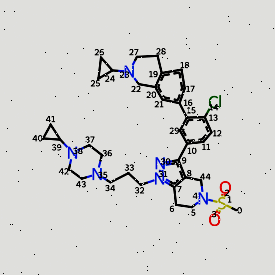 CS(=O)(=O)N1CCc2c(c(-c3ccc(Cl)c(-c4ccc5c(c4)CN(C4CC4)CC5)c3)nn2CCCN2CCN(C3CC3)CC2)C1